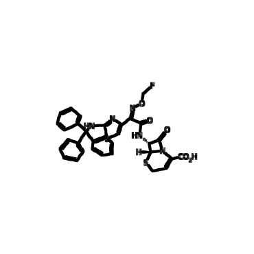 O=C(O)C1=CCS[C@@H]2[C@H](NC(=O)/C(=N\OCF)c3csc(NC(c4ccccc4)(c4ccccc4)c4ccccc4)n3)C(=O)N12